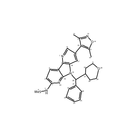 CSNc1ccc2c3ncc(-c4c(C)noc4C)cc3n(C(c3ccccc3)C3CCOCC3)c2n1